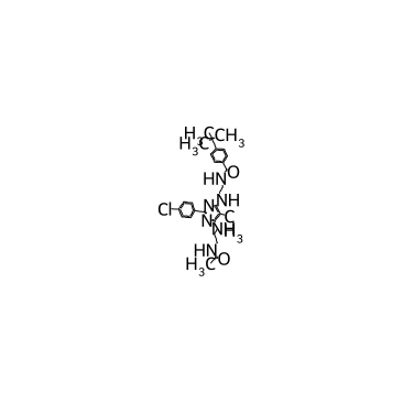 CC(=O)NCCNc1nc(-c2ccc(Cl)cc2)nc(NCCNC(=O)c2ccc(C(C)(C)C)cc2)c1C